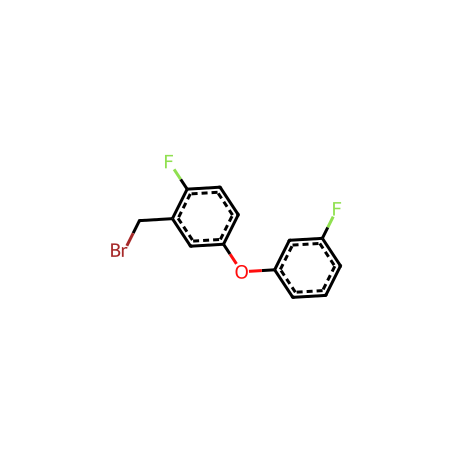 Fc1cccc(Oc2ccc(F)c(CBr)c2)c1